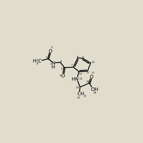 CC(=O)NCC(=O)c1ccccc1NC(C)C(=O)O